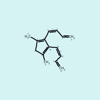 C=C/C=C\C1=C(C)CC(C)=C1/C=C\C=C